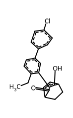 CCc1ccc(-c2ccc(Cl)cc2)cc1C1=C(O)C2C=CC(CC2)C1=O